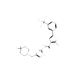 Cc1oc(-c2cccc(C(F)(F)F)c2)cc1C(=O)Nc1ncc(CN2CCC(F)(F)CC2)s1